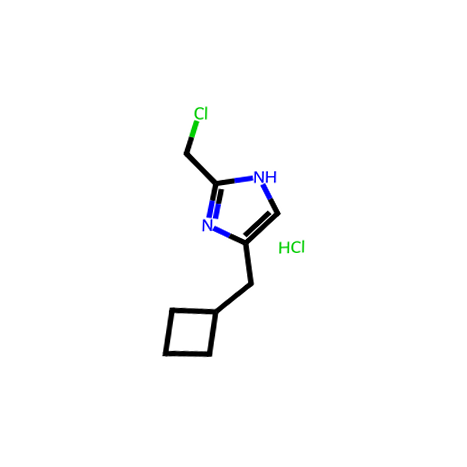 Cl.ClCc1nc(CC2CCC2)c[nH]1